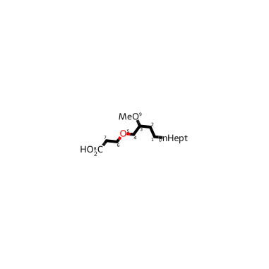 CCCCCCCCCC(COCCC(=O)O)OC